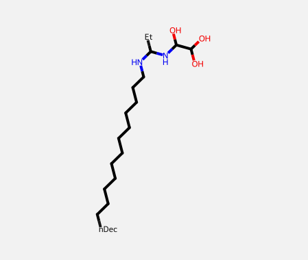 CCCCCCCCCCCCCCCCCCCCCCNC(CC)NC(O)C(O)O